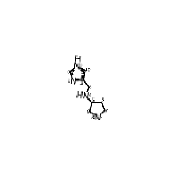 c1nc(CNC2CC[N]C2)c[nH]1